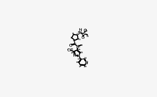 CN(C(=O)[C@H]1CC[C@@H](NS(C)(=O)=O)C1)c1cn(-c2cccnc2)nc1Cl